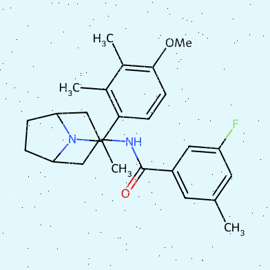 COc1ccc(C(C)N2C3CCC2CC(NC(=O)c2cc(C)cc(F)c2)C3)c(C)c1C